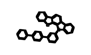 c1ccc(-c2ccc(-c3cccc(-n4c5ccccc5c5ccc6c7ccccc7oc6c54)c3)cc2)cc1